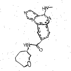 CNc1nc2ccc(C(=O)N[C@@H]3CCCOC3)cc2n2cncc12